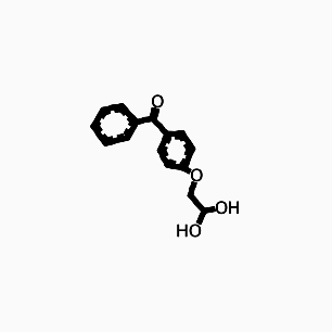 O=C(c1ccccc1)c1ccc(OCC(O)O)cc1